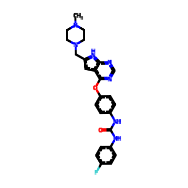 CN1CCN(Cc2cc3c(Oc4ccc(NC(=O)Nc5ccc(F)cc5)cc4)ncnc3[nH]2)CC1